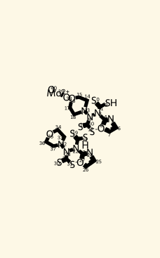 S=C(S)N(c1ncco1)N(C(=S)[S-])N1CCOCC1.S=C(S)N(c1ncco1)N(C(=S)[S-])N1CCOCC1.[O]=[Mo+2]=[O]